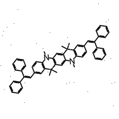 CN1c2ccc(C=C(c3ccccc3)c3ccccc3)cc2C(C)(C)c2cc3c(cc21)C(C)(C)c1cc(C=C(c2ccccc2)c2ccccc2)ccc1N3C